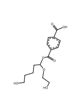 O=C(O)c1ccc(C(=O)OC(CCCCO)OCCO)cc1